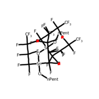 CCCCC[O][Sn]([O][Sn]([O]CCCCC)([C](F)(F)C(F)(F)C(F)(F)C(F)(F)F)[C](F)(F)C(F)(F)C(F)(F)C(F)(F)F)([C](F)(F)C(F)(F)C(F)(F)C(F)(F)F)[C](F)(F)C(F)(F)C(F)(F)C(F)(F)F